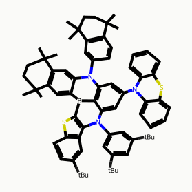 CC(C)(C)c1cc(N2c3cc(N4c5ccccc5Sc5ccccc54)cc4c3B(c3cc5c(cc3N4c3ccc4c(c3)C(C)(C)CCC4(C)C)C(C)(C)CCC5(C)C)c3sc4ccc(C(C)(C)C)cc4c32)cc(C(C)(C)C)c1